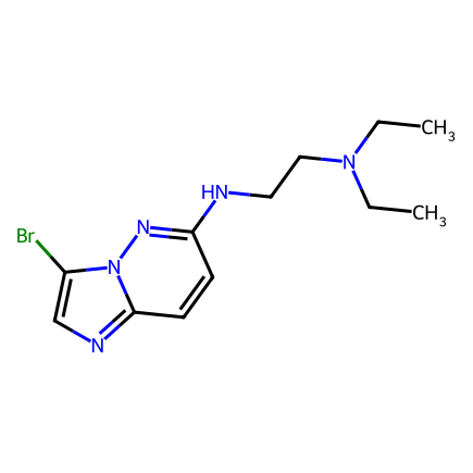 CCN(CC)CCNc1ccc2ncc(Br)n2n1